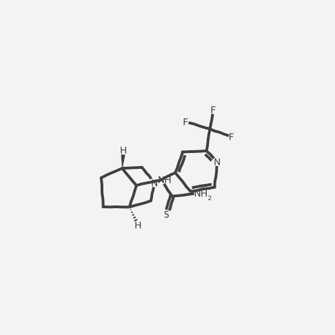 NC(=S)NC1[C@@H]2CC[C@@H]1CN(c1ccnc(C(F)(F)F)c1)C2